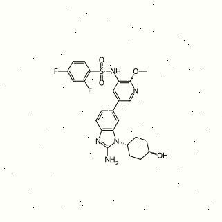 COc1ncc(-c2ccc3nc(N)n([C@H]4CC[C@H](O)CC4)c3c2)cc1NS(=O)(=O)c1ccc(F)cc1F